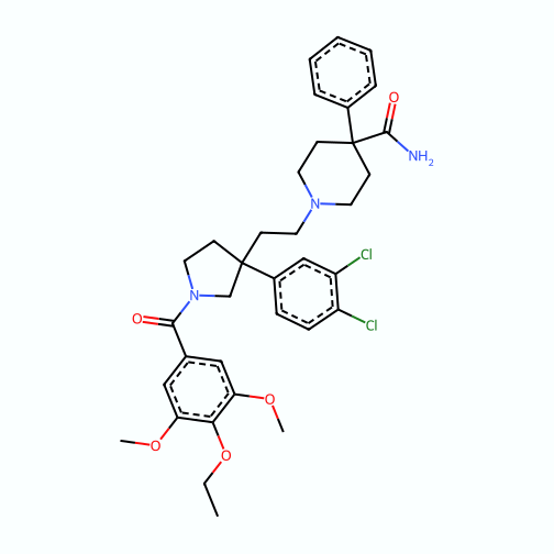 CCOc1c(OC)cc(C(=O)N2CCC(CCN3CCC(C(N)=O)(c4ccccc4)CC3)(c3ccc(Cl)c(Cl)c3)C2)cc1OC